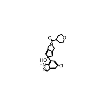 O=C(C1CCOCC1)N1CC2=CC(O)(c3cc(Cl)cc4cn[nH]c34)C=C2C1